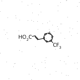 O=C(O)C=Cc1c[c]cc(C(F)(F)F)c1